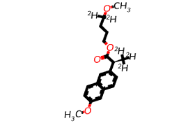 [2H]C([2H])(CCCOC(=O)[C@H](c1ccc2cc(OC)ccc2c1)C([2H])([2H])[2H])OC